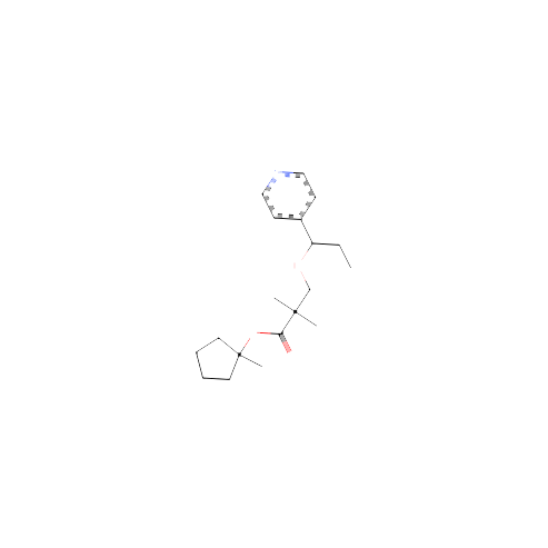 CCC(BCC(C)(C)C(=O)OC1(C)CCCC1)c1ccncc1